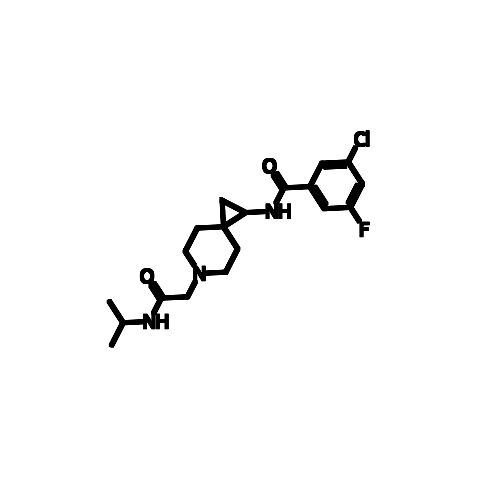 CC(C)NC(=O)CN1CCC2(CC1)CC2NC(=O)c1cc(F)cc(Cl)c1